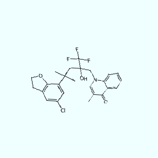 Cc1cn(CC(O)(CC(C)(C)c2cc(Cl)cc3c2OCC3)C(F)(F)F)c2ccccc2c1=O